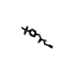 C#CCNC(=O)Oc1ccc(S(C)(=O)=O)nc1